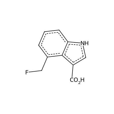 O=C(O)c1c[nH]c2cccc(CF)c12